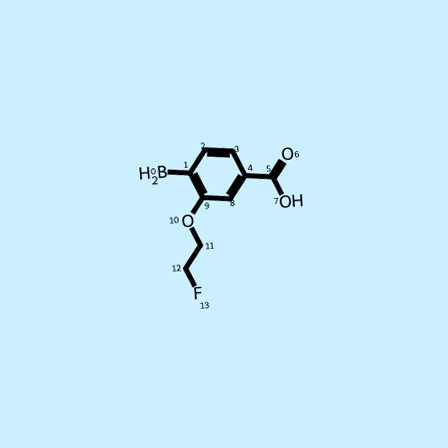 Bc1ccc(C(=O)O)cc1OCCF